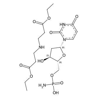 CCOC(=O)CCNCCC(=O)OCC.NP(=O)(O)OC[C@H]1O[C@@H](n2ccc(=O)[nH]c2=O)C[C@@H]1O